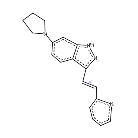 C(=C\c1n[nH]c2cc(N3CCCC3)ccc12)/c1ccccn1